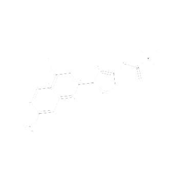 CCC(C)(C)C(=O)Nc1nc(-c2cc(O)c3ccc(OC)cc3n2)cs1